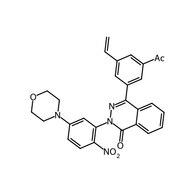 C=Cc1cc(C(C)=O)cc(-c2nn(-c3cc(N4CCOCC4)ccc3[N+](=O)[O-])c(=O)c3ccccc23)c1